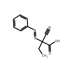 CCC(C#N)(/N=N/c1ccccc1)C(=O)O